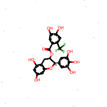 O=C(OC1Cc2c(O)cc(O)cc2O[C@@H]1c1cc(O)c(O)c(O)c1)c1cc(O)c(O)cc1C(F)(F)F